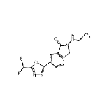 O=C1c2cc(-c3nnc(C(F)F)o3)ccc2CN1NCC(F)(F)F